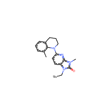 Cc1cccc2c1N(c1ccc3c(n1)n(C)c(=O)n3CC(C)(C)C)CCC2